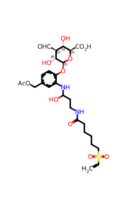 C=CS(=O)(=O)CCCCCC(=O)NCCC(O)Nc1cc(COC(C)=O)ccc1O[C@@H]1O[C@H](C(=O)O)[C@@H](O)[C@H](C=O)[C@H]1O